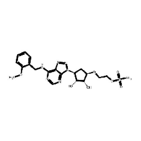 COc1ccccc1CNc1ncnc2c1nnn2[C@H]1C[C@@H](OCCOS(N)(=O)=O)[C@H](O)[C@@H]1O